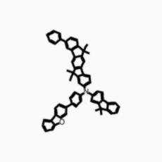 CC1(C)c2ccccc2-c2ccc(N(c3ccc(-c4ccc5c(c4)oc4ccccc45)cc3)c3ccc4c(c3)C(C)(C)c3cc5c(cc3-4)C(C)(C)c3ccc(-c4ccccc4)cc3-5)cc21